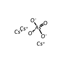 O=[As]([O-])([O-])[O-].[Cs+].[Cs+].[Cs+]